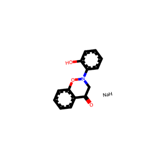 O=C1CN(c2ccccc2O)Oc2ccccc21.[NaH]